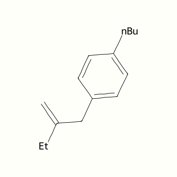 C=C(CC)Cc1ccc(CCCC)cc1